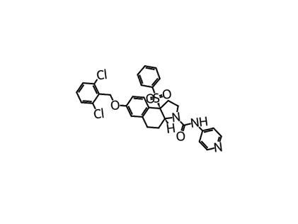 O=C(Nc1ccncc1)N1CC[C@@]2(S(=O)(=O)c3ccccc3)c3ccc(OCc4c(Cl)cccc4Cl)cc3CC[C@@H]12